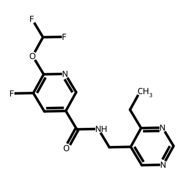 CCc1ncncc1CNC(=O)c1cnc(OC(F)F)c(F)c1